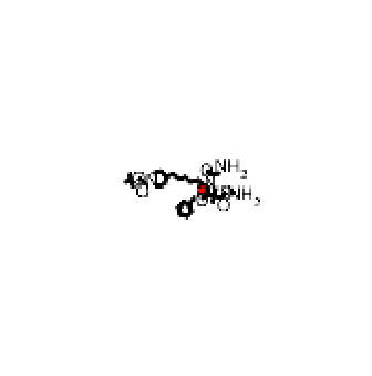 CC(C)(C)OC(=O)N1CCC(CCCCCC(=O)N(CC(C)(C(=O)ON)C(=O)OCc2ccccc2)C(=O)CN)CC1